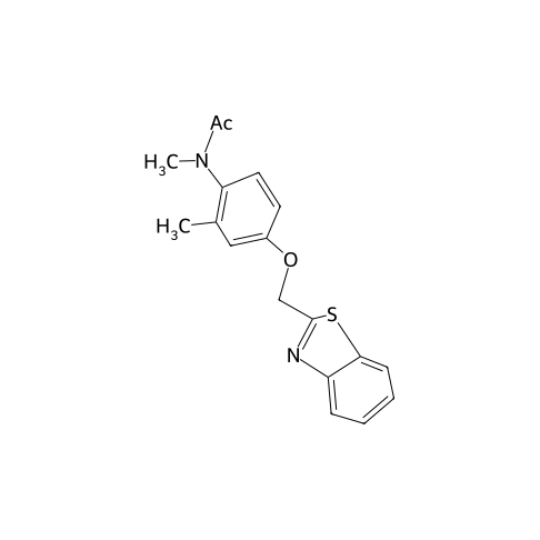 CC(=O)N(C)c1ccc(OCc2nc3ccccc3s2)cc1C